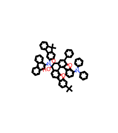 CC(C)(C)c1ccc2c(c1)oc1c3c(ccc12)C(O)(N(c1ccc2c(c1)-c1ccccc1C2(C)C)c1cc2ccccc2c2ccccc12)C(=O)c1cc(-c2ccccc2)c2oc4c(N(c5ccccc5)c5ccccc5)cccc4c2c1-3